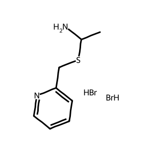 Br.Br.CC(N)SCc1ccccn1